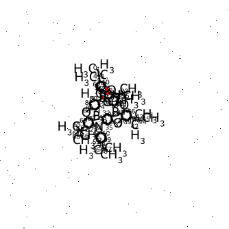 CCC(C)(C)c1cc2c3c(c1)Oc1cc4c(cc1B3c1cc(C(C)(C)C)ccc1O2)B1c2cc3c(cc2Oc2cc(C(C)(C)CC)cc(c21)O4)N(c1ccc(C(C)(C)C)cc1)c1cc(C(C)(C)CC)cc2c1B3c1cc(C(C)(C)C)ccc1O2